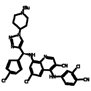 CC(C)(C)N1CCC(n2cc([C@@H](Nc3cc(Cl)cc4c(Nc5ccc(C#N)c(Cl)c5)c(C#N)cnc34)c3ccc(Cl)cc3)nn2)CC1